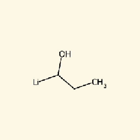 [Li][CH](O)CC